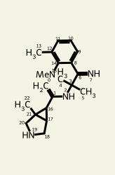 C=C(NC(C)(C)C(=N)c1cccc(C)c1NC)C1C2CNCC21C